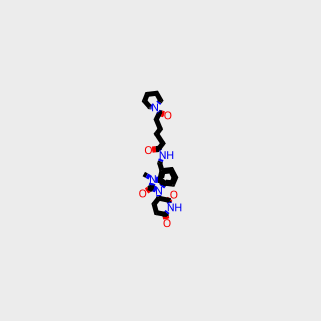 Cn1c(=O)n(C2CCC(=O)NC2=O)c2cccc(CNC(=O)CCCCC(=O)N3CCCCC3)c21